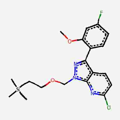 COc1cc(F)ccc1-c1nn(COCC[Si](C)(C)C)c2nc(Cl)ccc12